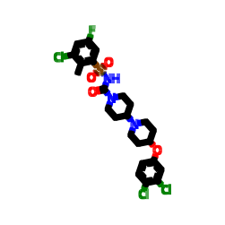 Cc1c(Cl)cc(F)cc1S(=O)(=O)NC(=O)N1CCC(N2CCC(Oc3ccc(Cl)c(Cl)c3)CC2)CC1